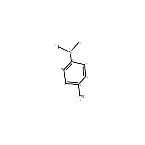 CN(I)c1ccc(C#N)cc1